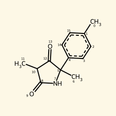 Cc1ccc(C2(C)NC(=O)C(C)C2=O)cc1